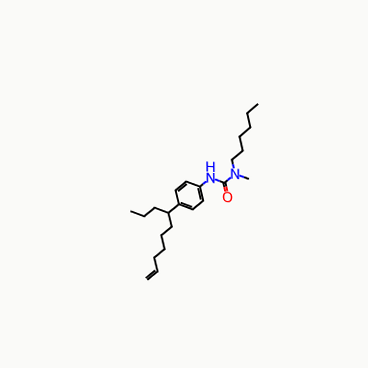 C=CCCCCC(CCC)c1ccc(NC(=O)N(C)CCCCCC)cc1